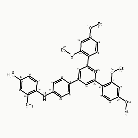 CCOc1ccc(-c2cc(-c3ccc(Nc4ccc(C)cc4C)cc3)cc(-c3ccc(OCC)cc3OCC)n2)c(OCC)c1